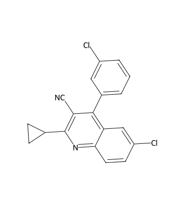 N#Cc1c(C2CC2)nc2ccc(Cl)cc2c1-c1cccc(Cl)c1